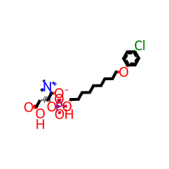 C[N+](C)(C)C([O-])[C@@H](CC(=O)O)OP(=O)(O)OCCCCCCCCCOc1ccc(Cl)cc1